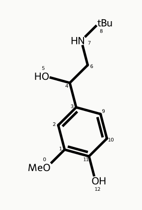 COc1cc(C(O)CNC(C)(C)C)ccc1O